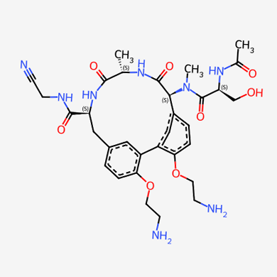 CC(=O)N[C@@H](CO)C(=O)N(C)[C@@H]1C(=O)N[C@@H](C)C(=O)N[C@H](C(=O)NCC#N)Cc2ccc(OCCN)c(c2)-c2cc1ccc2OCCN